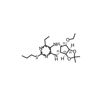 CCCSc1nc(CC)c(N)c(N[C@@H]2C[C@H](OCC)[C@H]3OC(C)(C)O[C@H]32)n1